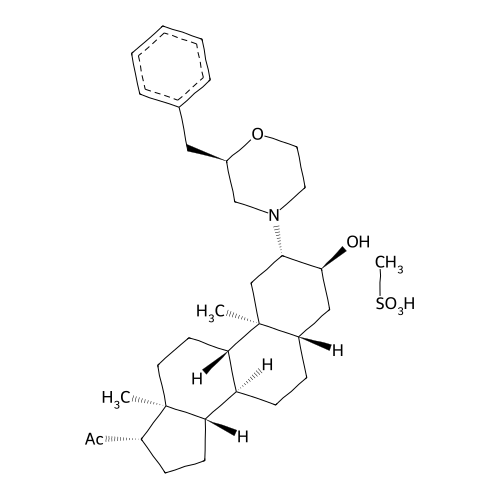 CC(=O)[C@H]1CC[C@H]2[C@@H]3CC[C@H]4C[C@H](O)[C@@H](N5CCO[C@H](Cc6ccccc6)C5)C[C@]4(C)[C@H]3CC[C@]12C.CS(=O)(=O)O